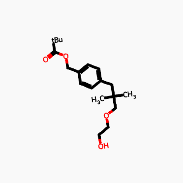 CC(C)(COCCO)Cc1ccc(COC(=O)C(C)(C)C)cc1